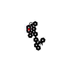 O=P(c1ccccc1)(c1ccccc1)c1ccc2c(c1)C(c1ccccc1)(c1ccccc1)c1cc(-c3ccc4c5ccc6ccccc6c5c5nc6ccccc6n5c4c3)ccc1-2